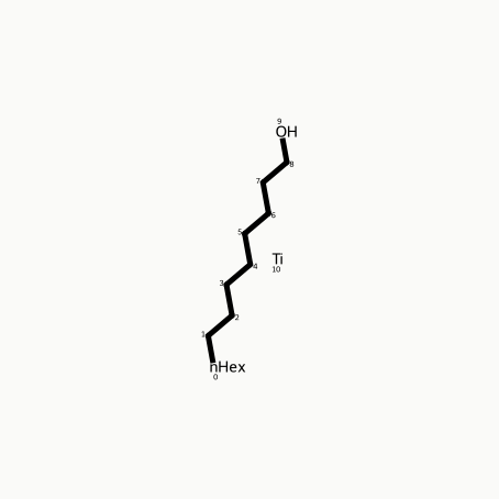 CCCCCCCCCCCCCCO.[Ti]